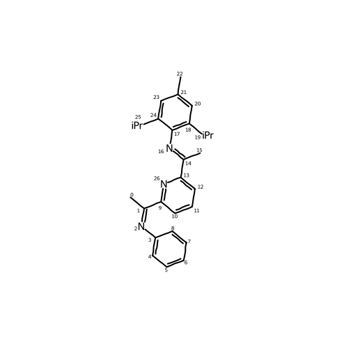 CC(=Nc1ccccc1)c1cccc(C(C)=Nc2c(C(C)C)cc(C)cc2C(C)C)n1